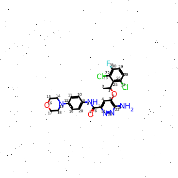 CC(Oc1cc(C(=O)Nc2ccc(N3CCOCC3)cc2)nnc1N)c1c(Cl)ccc(F)c1Cl